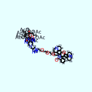 CC(=O)NC1[C@@H](OC(C)=O)[C@H](OC(C)=O)C(COC(C)=O)O[C@@H]1n1cc(CN(Cc2cn(CCOCCOCCOCCN3C(=O)c4ccccc4C34c3cc5c6c(c3Oc3c4cc4c7c3CCCN7CCC4)CCCN6CCC5)nn2)Cc2cn([C@H]3OC(COC(C)=O)[C@H](OC(C)=O)[C@@H](OC(C)=O)C3NC(C)=O)nn2)nn1